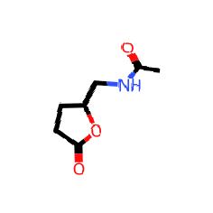 CC(=O)NCC1CCC(=O)O1